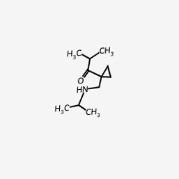 CC(C)NCC1(C(=O)C(C)C)CC1